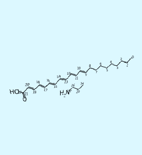 CCCCCCCCCC=CC=CC=CC=CC=CC=CC(=O)O.CCCN